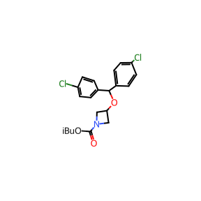 CC(C)COC(=O)N1CC(OC(c2ccc(Cl)cc2)c2ccc(Cl)cc2)C1